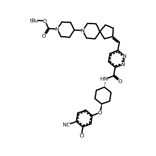 CC(C)(C)OC(=O)N1CCC(N2CCC3(CC/C(=C/c4ccc(C(=O)N[C@H]5CC[C@H](Oc6ccc(C#N)c(Cl)c6)CC5)nn4)C3)CC2)CC1